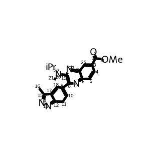 COC(=O)c1ccc2nc(C3=CCC4=NN=C(C)C4=C3)c(N(C)C(C)C)nc2c1